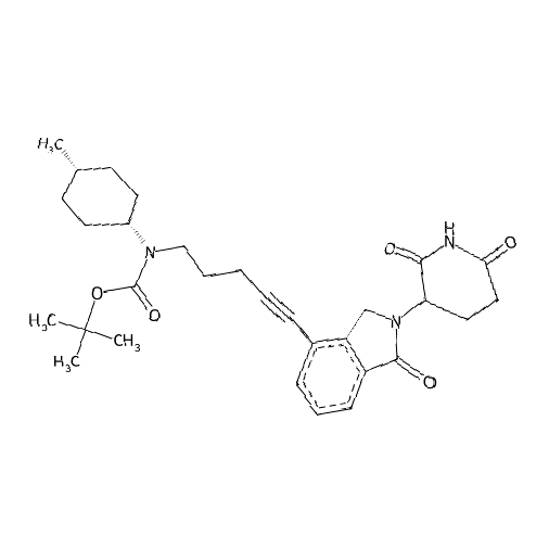 CC(C)(C)OC(=O)N(CCCC#Cc1cccc2c1CN(C1CCC(=O)NC1=O)C2=O)[C@H]1CC[C@@H](C)CC1